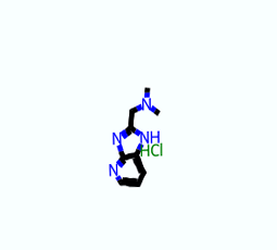 CN(C)Cc1nc2ncccc2[nH]1.Cl